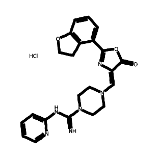 Cl.N=C(Nc1ccccn1)N1CCN(C=C2N=C(c3cccc4c3CCO4)OC2=O)CC1